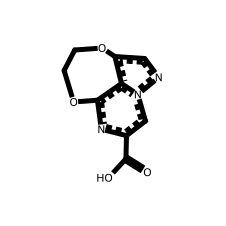 O=C(O)c1cn2ncc3c2c(n1)OCCO3